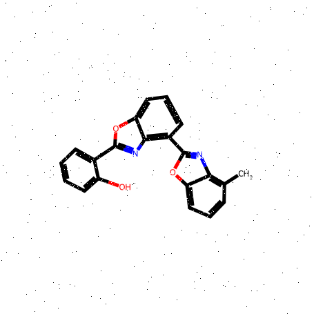 Cc1cccc2oc(-c3cccc4oc(-c5ccccc5O)nc34)nc12